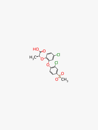 C[C@H](Oc1ccc(Cl)cc1Oc1ccc(S(C)(=O)=O)cc1Cl)C(=O)O